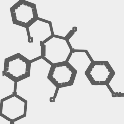 COc1ccc(CN2C(=O)C(Cc3ccccc3Cl)N=C(c3ccnc(N4CCNCC4)c3)c3cc(Cl)ccc32)cc1